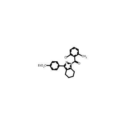 CCOC(=O)c1ccc(-c2nn(C(=O)c3c(C)cccc3Cl)c3c2CCCC3)cc1